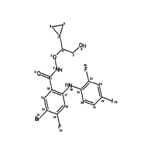 O=C(NOC(CO)C1CC1)c1cc(Br)c(F)cc1Nc1ccc(I)cc1F